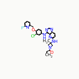 C=CC(=O)N1CC(C)(Nc2ccc3ncnc(Nc4ccc(OCc5cccc(F)n5)c(Cl)c4)c3n2)C1